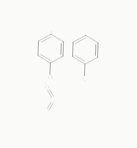 Clc1ccccc1.Clc1ccccc1.O=S=O